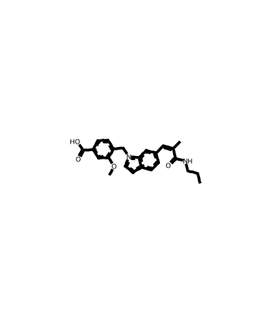 CCCNC(=O)C(C)=Cc1ccc2ccn(Cc3ccc(C(=O)O)cc3OC)c2c1